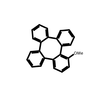 COc1cccc2c1-c1ccccc1-c1ccccc1-c1ccccc1-2